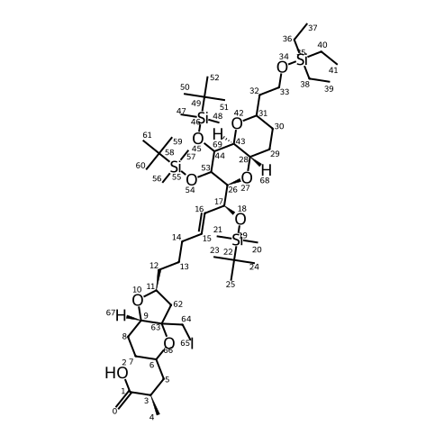 C=C(O)[C@H](C)CC1CC[C@@H]2O[C@@H](CCC/C=C/[C@H](O[Si](C)(C)C(C)(C)C)[C@@H]3O[C@H]4CCC(CCO[Si](CC)(CC)CC)O[C@@H]4C(O[Si](C)(C)C(C)(C)C)C3O[Si](C)(C)C(C)(C)C)CC2(CI)O1